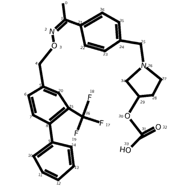 CC(=NOCc1ccc(-c2ccccc2)c(C(F)(F)F)c1)c1ccc(CN2CCC(OC(=O)O)C2)cc1